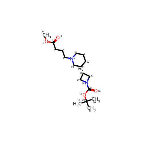 COC(=O)CCCN1CCC[C@H](C2CN(C(=O)OC(C)(C)C)C2)C1